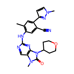 Cc1cc(-c2ccn(C)n2)c(C#N)cc1Nc1ncc2c(n1)n(C1CCOCC1)c(=O)n2C